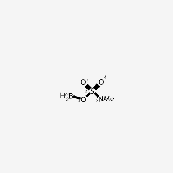 BOS(=O)(=O)NC